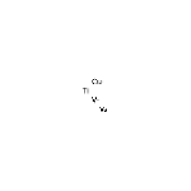 [Cu].[Ti].[V].[W]